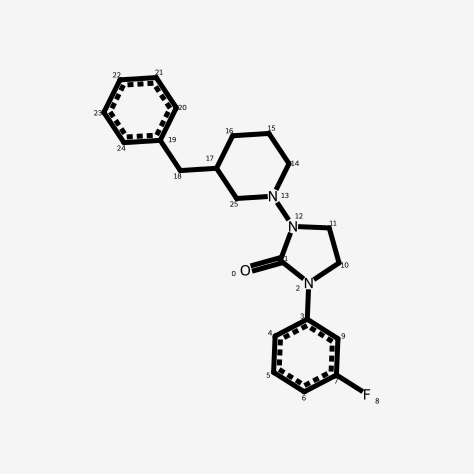 O=C1N(c2cccc(F)c2)CCN1N1CCCC(Cc2ccccc2)C1